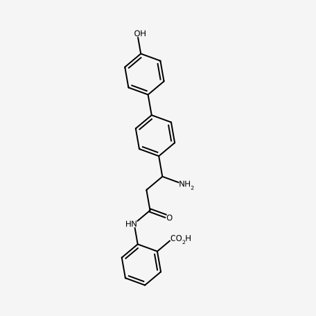 NC(CC(=O)Nc1ccccc1C(=O)O)c1ccc(-c2ccc(O)cc2)cc1